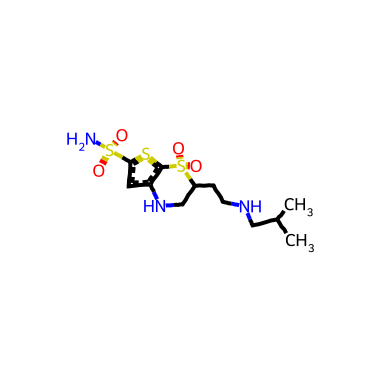 CC(C)CNCCC1CNc2cc(S(N)(=O)=O)sc2S1(=O)=O